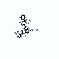 CCOC(=O)n1nc(NC(=O)c2cccn2C)c2cc(C(=O)NC(C)(C)c3ccccc3)sc21